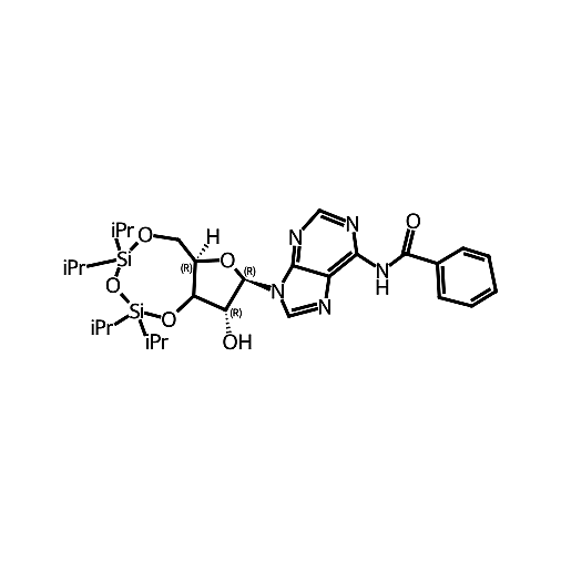 CC(C)[Si]1(C(C)C)OC[C@H]2O[C@@H](n3cnc4c(NC(=O)c5ccccc5)ncnc43)[C@H](O)C2O[Si](C(C)C)(C(C)C)O1